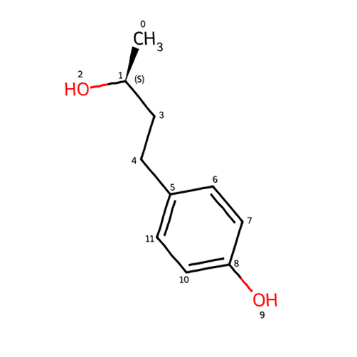 C[C@H](O)CCc1ccc(O)cc1